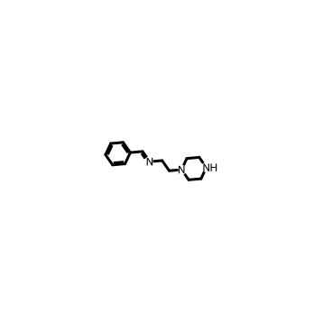 C(=NCCN1CCNCC1)c1ccccc1